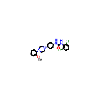 CC(C)Oc1ccccc1N1CCN([C@H]2CC[C@H](NC(=O)Nc3c(Cl)cccc3Cl)CC2)CC1